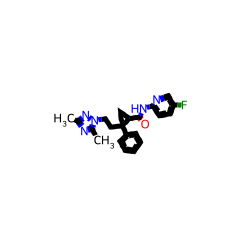 Cc1nc(C)n(CCC2(c3ccccc3)CC2C(=O)Nc2ccc(F)cn2)n1